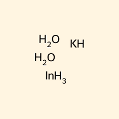 O.O.[InH3].[KH]